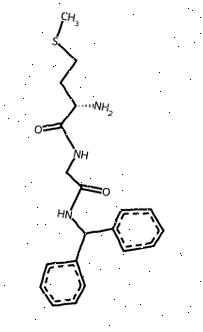 CSCC[C@H](N)C(=O)NCC(=O)NC(c1ccccc1)c1ccccc1